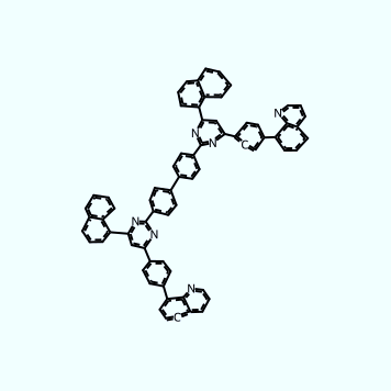 c1ccc2c(-c3cc(-c4ccc(-c5cccc6cccnc56)cc4)nc(-c4ccc(-c5ccc(-c6nc(-c7ccc(-c8cccc9cccnc89)cc7)cc(-c7cccc8ccccc78)n6)cc5)cc4)n3)cccc2c1